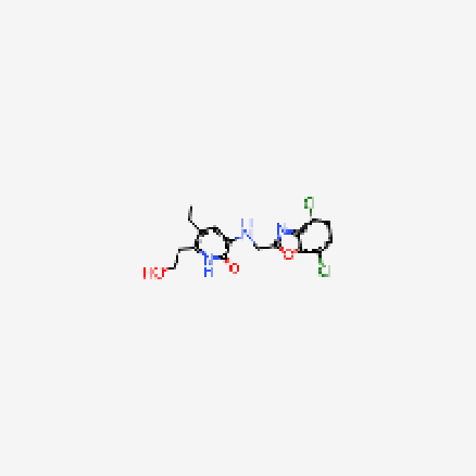 CCc1cc(NCc2nc3c(Cl)ccc(Cl)c3o2)c(=O)[nH]c1CCO